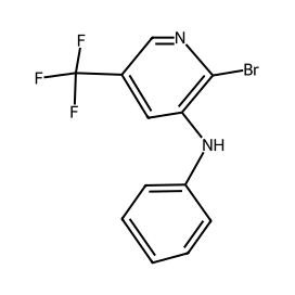 FC(F)(F)c1cnc(Br)c(Nc2ccccc2)c1